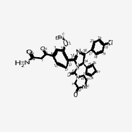 CC(C)(C)Oc1cc(C(=O)CC(N)=O)ccc1C1=N[C@@H](c2ccc(Cl)cc2)[C@@H](C2=CCC=C2)N1C(=O)N1CCNC(=O)C1